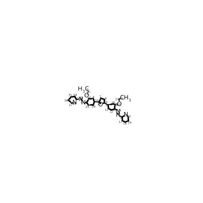 CCOc1cc(-c2ccc(-c3ccc(N=Nc4ccccn4)c(OCC)c3)o2)ccc1N=Nc1ccccn1